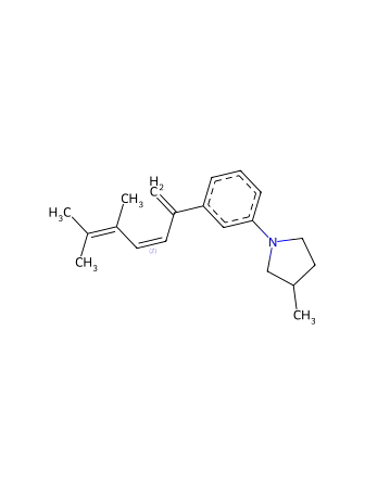 C=C(/C=C\C(C)=C(C)C)c1cccc(N2CCC(C)C2)c1